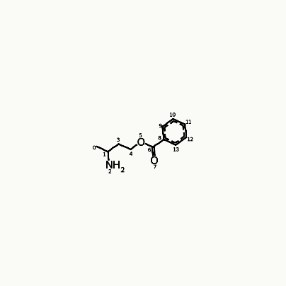 CC(N)CCOC(=O)c1ccccc1